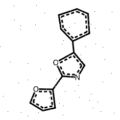 c1ccc(-c2cnc(-c3ccco3)o2)cc1